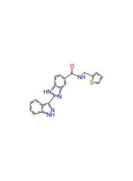 O=C(NCc1cccs1)c1ccc2[nH]c(-c3n[nH]c4ccccc34)nc2c1